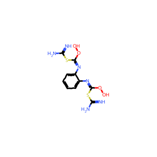 N=C(N)SC(=Nc1ccccc1N=C(OO)SC(=N)N)OO